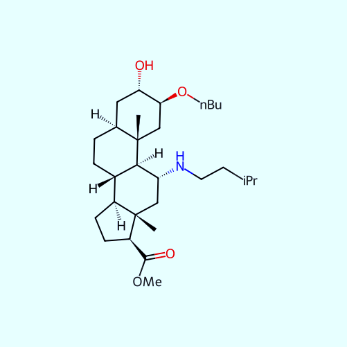 CCCCO[C@H]1C[C@@]2(C)[C@@H](CC[C@@H]3[C@@H]2[C@H](NCCC(C)C)C[C@]2(C)[C@@H](C(=O)OC)CC[C@@H]32)C[C@@H]1O